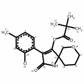 Cc1ccc(C2=C(OC(=O)C(C)(C)C)C3(CCCOC3)NC2=O)c(Cl)c1